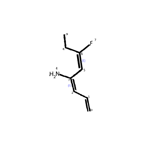 C=C/C=C(N)\C=C(\F)CC